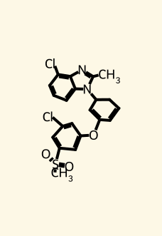 Cc1nc2c(Cl)cccc2n1C1C=C(Oc2cc(Cl)cc(S(C)(=O)=O)c2)C=CC1